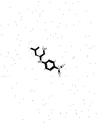 CC(C)C[C@@H](CO)Nc1ccc([N+](=O)[O-])cc1